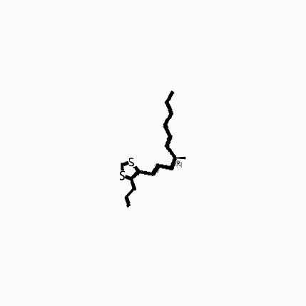 CCCCCC[C@@H](C)CCCC1SCSC1CCC